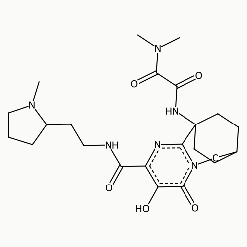 CN(C)C(=O)C(=O)NC12CCC(CC1)Cn1c2nc(C(=O)NCCC2CCCN2C)c(O)c1=O